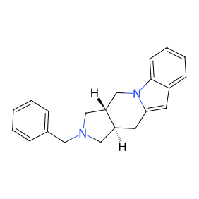 c1ccc(CN2C[C@@H]3Cn4c(cc5ccccc54)C[C@H]3C2)cc1